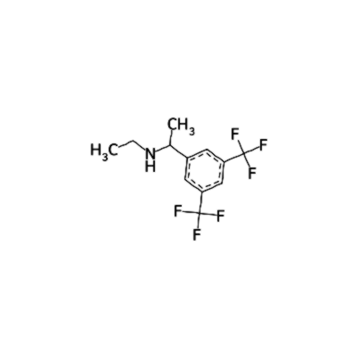 CCNC(C)c1cc(C(F)(F)F)cc(C(F)(F)F)c1